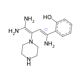 NC(N)=C(/C=C(\N)c1ccccc1O)N1CCNCC1